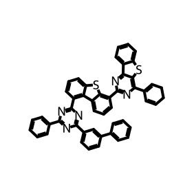 C1=CC(c2nc(-c3cccc4c3sc3cccc(-c5nc(-c6ccccc6)nc(-c6cccc(-c7ccccc7)c6)n5)c34)nc3c2sc2ccccc23)=CCC1